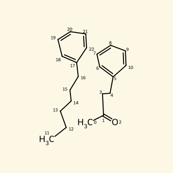 CC(=O)CCc1ccccc1.CCCCCCc1ccccc1